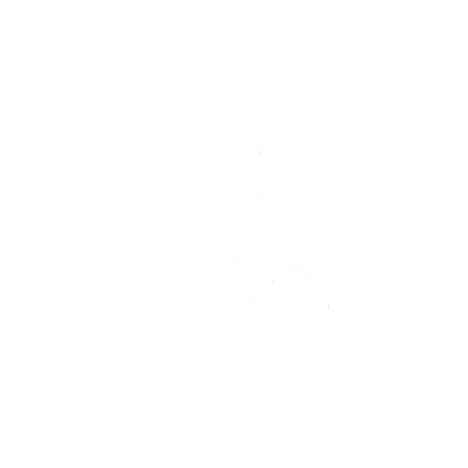 CCC(C)(C)C(=O)Oc1ccc(C)c(O)c1